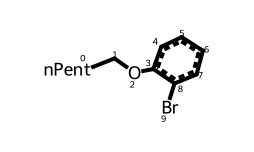 CCCCCCOc1ccccc1Br